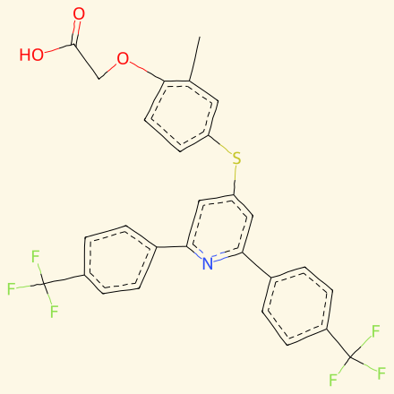 Cc1cc(Sc2cc(-c3ccc(C(F)(F)F)cc3)nc(-c3ccc(C(F)(F)F)cc3)c2)ccc1OCC(=O)O